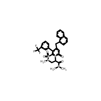 CN(C)C(=O)C1CN(C)S(=O)(=O)c2c(-c3cccc(C(F)(F)F)c3)c(Cc3cccc4ccccc34)cc(=O)n21